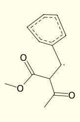 COC(=O)C([CH]c1ccccc1)C(C)=O